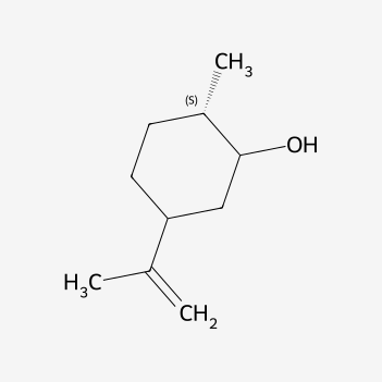 C=C(C)C1CC[C@H](C)C(O)C1